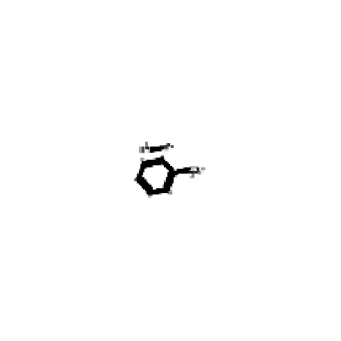 CCCO.O=S(=O)(O)c1ccccc1